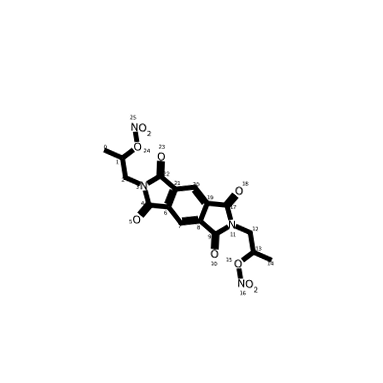 CC(Cn1c(=O)c2cc3c(=O)n(CC(C)O[N+](=O)[O-])c(=O)c3cc2c1=O)O[N+](=O)[O-]